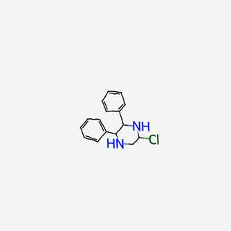 ClC1CNC(c2ccccc2)C(c2ccccc2)N1